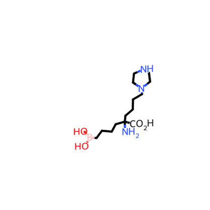 NC(CCCCB(O)O)(CCCCN1CCNCC1)C(=O)O